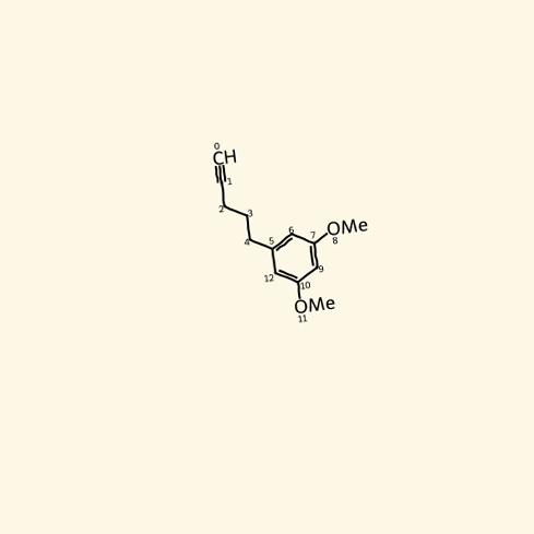 C#CCCCc1cc(OC)cc(OC)c1